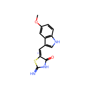 COc1ccc2[nH]cc(/C=C3/SC(=N)NC3=O)c2c1